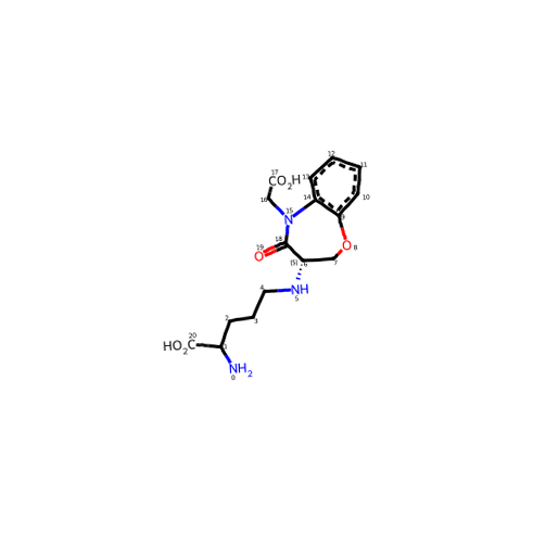 NC(CCCN[C@H]1COc2ccccc2N(CC(=O)O)C1=O)C(=O)O